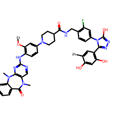 CCOc1cc(N2CCC(C(=O)NCc3ccc(-n4c(O)nnc4-c4cc(C(C)C)c(O)cc4O)cc3F)CC2)ccc1Nc1ncc2c(n1)N(C)c1ccccc1C(=O)N2C